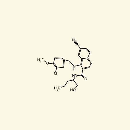 CCCC(CO)NC(=O)c1cnc2ccc(C#N)cc2c1NCc1ccc(OC)c(Cl)c1